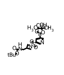 CC(C)(C)OC(=O)NCC1CN(S(=O)(=O)c2cncc(B3OC(C)(C)C(C)(C)O3)c2)C1